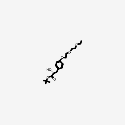 CCOCCOCCOc1ccc(C[C@@H](O)C(=O)OC(C)(C)C)cc1